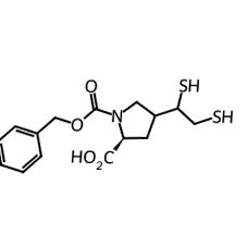 O=C(O)[C@@H]1CC(C(S)CS)CN1C(=O)OCc1ccccc1